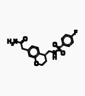 NC(=O)Cc1ccc2c(c1)OCCC2CNS(=O)(=O)c1ccc(F)cc1